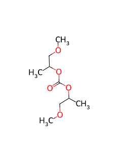 COCC(C)OC(=O)OC(C)COC